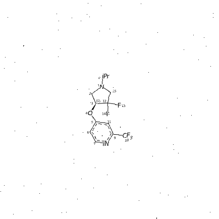 CC(C)N1C[C@H](Oc2ccnc(C(F)(F)F)c2)C(F)(F)C1